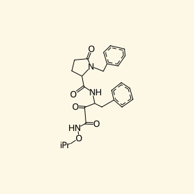 CC(C)ONC(=O)C(=O)C(Cc1ccccc1)NC(=O)C1CCC(=O)N1Cc1ccccc1